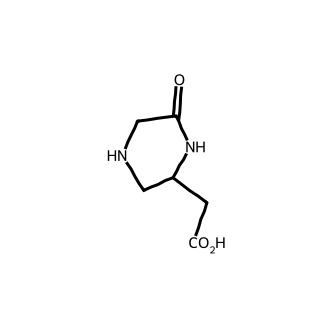 O=C(O)CC1CNCC(=O)N1